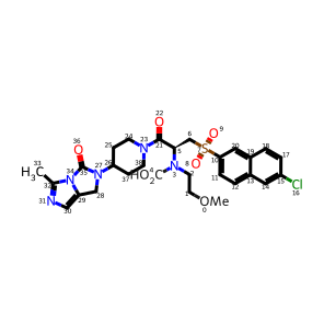 COCCN(C(=O)O)[C@H](CS(=O)(=O)c1ccc2cc(Cl)ccc2c1)C(=O)N1CCC(N2Cc3cnc(C)n3C2=O)CC1